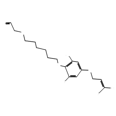 O=CCOCCCCCCOc1c(Cl)cc(OCC=C(Cl)Cl)cc1Cl